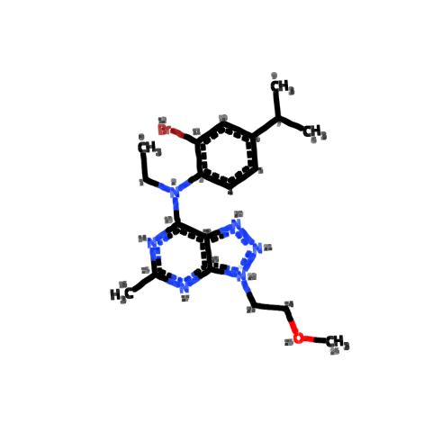 CCN(c1ccc(C(C)C)cc1Br)c1nc(C)nc2c1nnn2CCOC